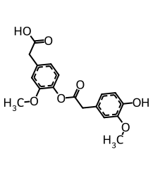 COc1cc(CC(=O)Oc2ccc(CC(=O)O)cc2OC)ccc1O